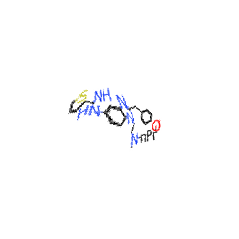 CCCOc1ccc(Cc2nc3cc(NC(=N)c4cccs4)ccc3n2CCN(C)C)cc1